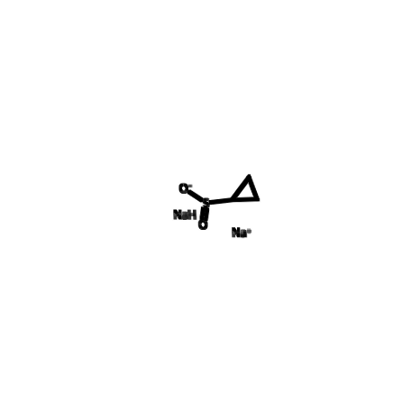 O=S([O-])C1CC1.[Na+].[NaH]